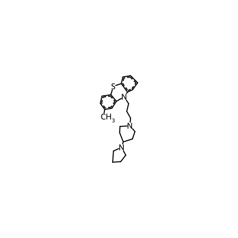 Cc1ccc2c(c1)N(CCCN1CCC(N3CCCC3)CC1)c1ccccc1S2